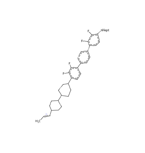 C/C=C/C1CCC(C2CCC(c3ccc(-c4ccc(-c5ccc(CCCCCCC)c(F)c5F)cc4)c(F)c3F)CC2)CC1